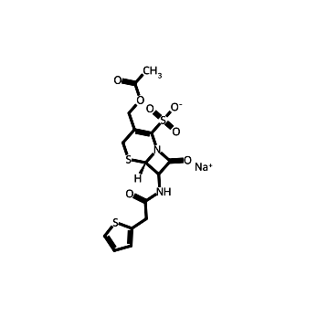 CC(=O)OCC1=C(S(=O)(=O)[O-])N2C(=O)C(NC(=O)Cc3cccs3)[C@@H]2SC1.[Na+]